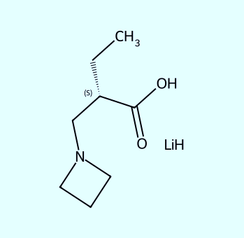 CC[C@@H](CN1CCC1)C(=O)O.[LiH]